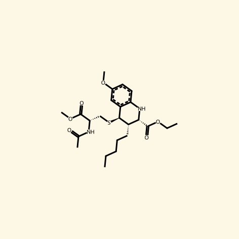 CCCCC[C@H]1[C@@H](C(=O)OCC)Nc2ccc(OC)cc2[C@@H]1SC[C@H](NC(C)=O)C(=O)OC